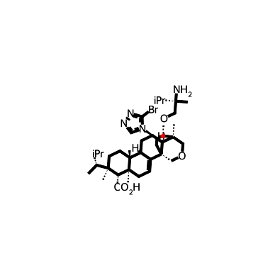 CC(C)[C@@H](C)[C@@]1(C)CC[C@]2(C)[C@H]3CC[C@@H]4[C@@]5(COC[C@]4(C)[C@@H](OC[C@](C)(N)C(C)C)[C@H](n4cnnc4Br)C5)C3=CC[C@@]2(C)[C@@H]1C(=O)O